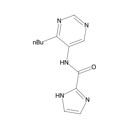 CCCCc1ncncc1NC(=O)c1ncc[nH]1